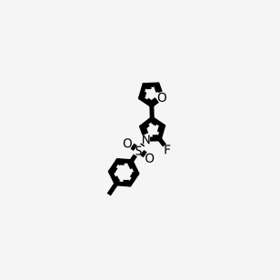 Cc1ccc(S(=O)(=O)n2cc(-c3ccco3)cc2F)cc1